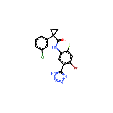 O=C(Nc1cc(-c2nnn[nH]2)c(Br)cc1F)C1(c2cccc(Cl)c2)CC1